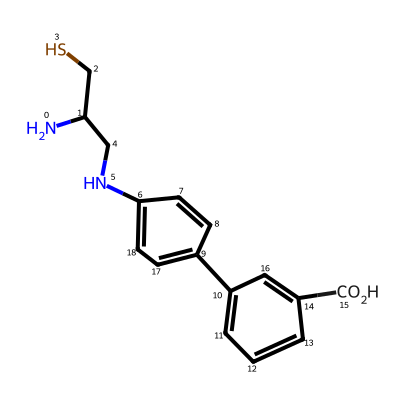 NC(CS)CNc1ccc(-c2cccc(C(=O)O)c2)cc1